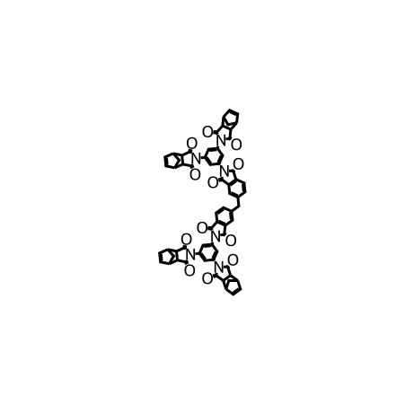 O=C1c2ccc(Cc3ccc4c(c3)C(=O)N(c3cc(N5C(=O)C6C7C=CC(C7)C6C5=O)cc(N5C(=O)C6C7C=CC(C7)C6C5=O)c3)C4=O)cc2C(=O)N1c1cc(N2C(=O)C3C4C=CC(C4)C3C2=O)cc(N2C(=O)C3C4C=CC(C4)C3C2=O)c1